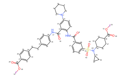 O=C(Nc1ccc(N2CCCCC2)cc1C(=O)Nc1ccc(CCc2ccc(C(=O)OI)cc2)cc1)c1cccc(S(=O)(=O)N(C2CCC(C(=O)OI)CC2)C2CC2)c1